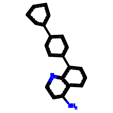 Nc1ccnc2c(-c3ccc(-c4ccccc4)cc3)cccc12